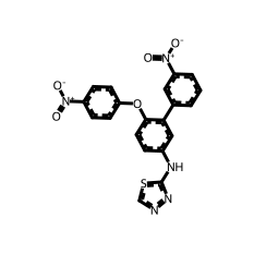 O=[N+]([O-])c1ccc(Oc2ccc(Nc3nncs3)cc2-c2cccc([N+](=O)[O-])c2)cc1